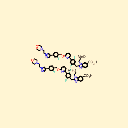 COCCn1c(Cc2cc(F)c(-c3cccc(OCc4ccc(-c5cnn(CCN6CCOCC6)c5)cc4F)n3)cc2F)nc2ccc(C(=O)O)cc21.COCCn1c(Cc2cc(F)c(-c3cccc(OCc4ccc(-c5cnn(CCN6CCOCC6)c5)cc4F)n3)cc2F)nc2ccc(C(=O)O)cc21